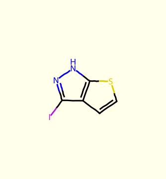 Ic1n[nH]c2sccc12